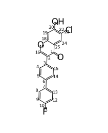 O=c1c(-c2ccc(-c3ccc(F)cc3)cc2)coc2cc(O)c(Cl)cc12